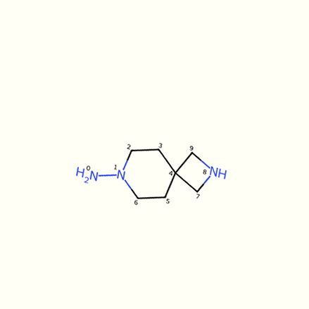 NN1CCC2(CC1)CNC2